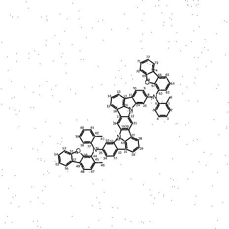 Cc1ccccc1N(c1ccc2c3cccc4c5cc6c(cc5n(c2c1)c34)c1cccc2c3ccc(N(c4ccccc4C)c4c(C)ccc5c4oc4ccccc45)cc3n6c21)c1cccc2c1oc1ccccc12